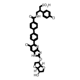 O=C(NCC(CS(=O)(=O)O)c1ccc(Cl)cc1)c1ccc(-c2ccc(-c3nc4nc(O[C@@H]5CO[C@H]6[C@@H]5OC[C@H]6O)[nH]c4cc3Cl)cc2)cc1